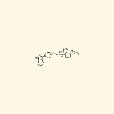 COC1=CC=CC(OCCCN2CCN(c3n[nH]c4ccccc34)CC2)(C(C)=O)C1